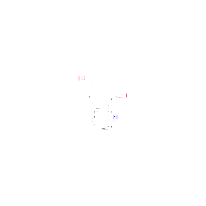 O=[C]c1ncccc1CCO